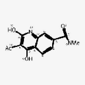 CNC(=O)c1ccc2c(O)c(C(C)=O)c(O)nc2c1